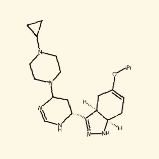 CC(C)OC1=CC[C@H]2NN=C([C@H]3CC(N4CCN(C5CC5)CC4)N=CN3)[C@H]2C1